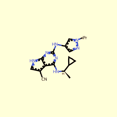 CC(C)n1cc(Nc2nc(N[C@H](C)C3CC3)c3c(C#N)c[nH]c3n2)cn1